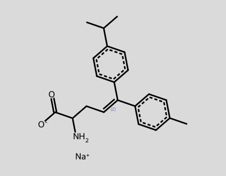 Cc1ccc(/C(=C/CC(N)C(=O)[O-])c2ccc(C(C)C)cc2)cc1.[Na+]